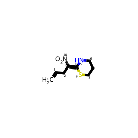 C=CCC(=C1NCCCS1)[N+](=O)[O-]